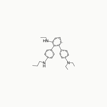 CCCNc1ccc(-c2c(-c3ccc(N(CC)CC)cc3)[c]ccc2NCC)cc1